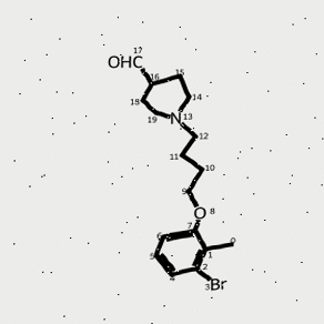 Cc1c(Br)cccc1OCCCCN1CCC(C=O)CC1